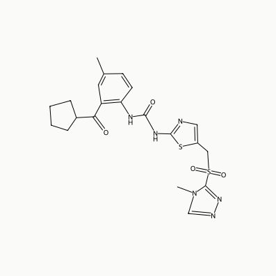 Cc1ccc(NC(=O)Nc2ncc(CS(=O)(=O)c3nncn3C)s2)c(C(=O)C2CCCC2)c1